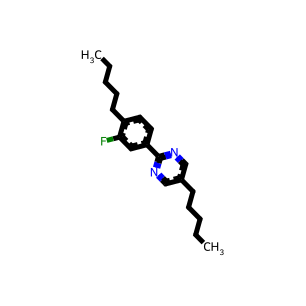 CCCCCc1cnc(-c2ccc(CCCCC)c(F)c2)nc1